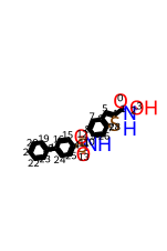 O=C(NO)c1cc2ccc(NS(=O)(=O)c3ccc(-c4ccccc4)cc3)cc2s1